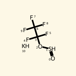 O=[SH]OC(F)(F)C(F)(F)F.[KH]